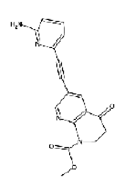 COC(=O)N1CCC(=O)c2cc(C#Cc3cccc(N)n3)cnc21